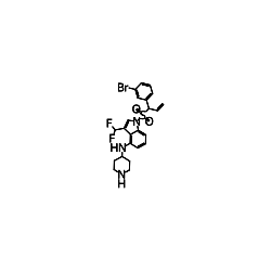 C=CC(c1cccc(Br)c1)S(=O)(=O)n1cc(C(F)F)c2c(NC3CCNCC3)cccc21